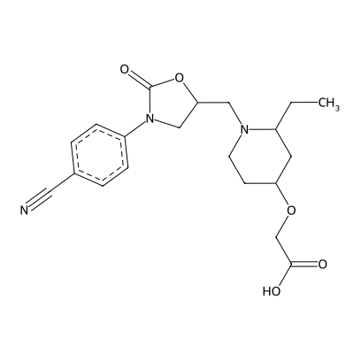 CCC1CC(OCC(=O)O)CCN1CC1CN(c2ccc(C#N)cc2)C(=O)O1